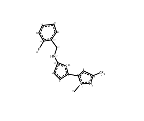 Cn1nc(C(F)(F)F)cc1-c1ccc(NCc2ccccc2F)s1